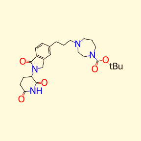 CC(C)(C)OC(=O)N1CCCN(CCCc2ccc3c(c2)CN(C2CCC(=O)NC2=O)C3=O)CC1